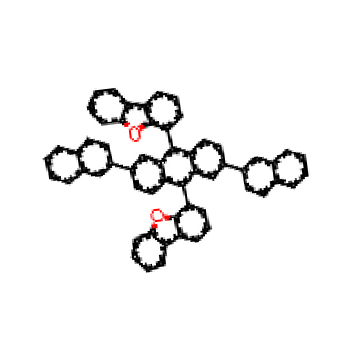 c1ccc2cc(-c3ccc4c(-c5cccc6c5oc5ccccc56)c5cc(-c6ccc7ccccc7c6)ccc5c(-c5cccc6c5oc5ccccc56)c4c3)ccc2c1